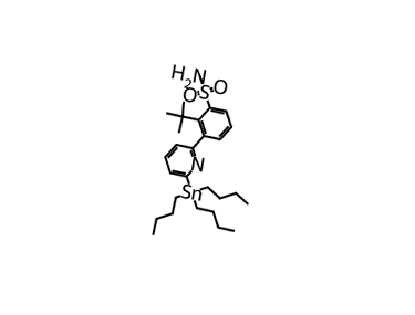 CCC[CH2][Sn]([CH2]CCC)([CH2]CCC)[c]1cccc(-c2cccc(S(N)(=O)=O)c2C(C)(C)C)n1